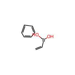 C=CB(O)O.c1ccccc1